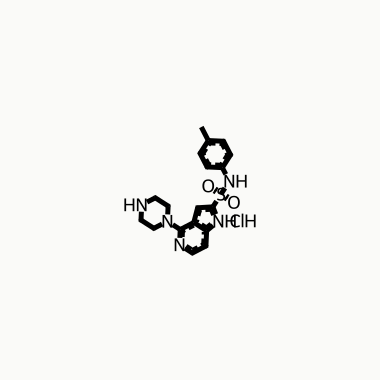 Cc1ccc(NS(=O)(=O)c2cc3c(N4CCNCC4)nccc3[nH]2)cc1.Cl